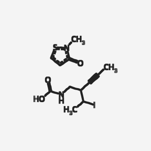 CC#CC(CNC(=O)O)C(C)I.Cn1sccc1=O